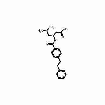 CN(C)C[C@@H](CC(=O)O)NC(=O)c1ccc(CCc2ccccc2)cc1